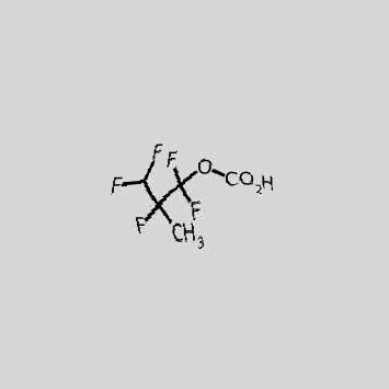 CC(F)(C(F)F)C(F)(F)OC(=O)O